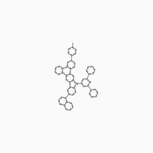 Cc1ccc(-c2ccc3c(c2)c2ccccc2c2cc4c5cc(-c6cccc7ccccc67)ccc5n(-c5cc(-c6ccccc6)nc(-c6ccccc6)c5)c4cc32)cc1